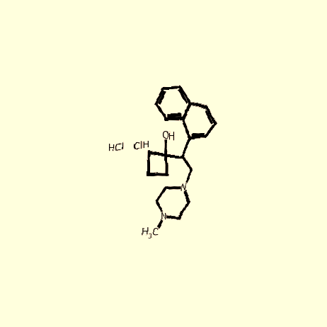 CN1CCN(CC(c2cccc3ccccc23)C2(O)CCC2)CC1.Cl.Cl